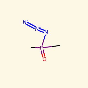 CP(C)(=O)N=[N+]=[N-]